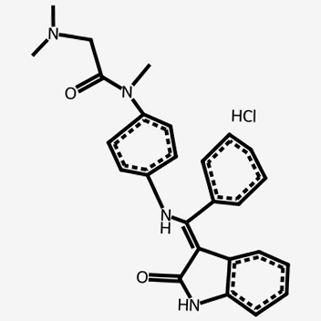 CN(C)CC(=O)N(C)c1ccc(N/C(=C2\C(=O)Nc3ccccc32)c2ccccc2)cc1.Cl